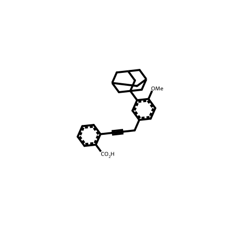 COc1ccc(CC#Cc2ccccc2C(=O)O)cc1C12CC3CC(CC(C3)C1)C2